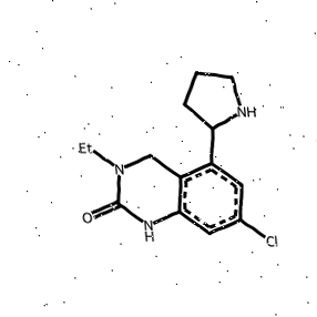 CCN1Cc2c(cc(Cl)cc2C2CCCN2)NC1=O